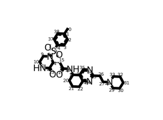 Cc1ccc(S(=O)(=O)N2CCNC(=O)[C@H]2CC(=O)NC2CCCc3nc(CCN4CCCCC4)ncc32)cc1